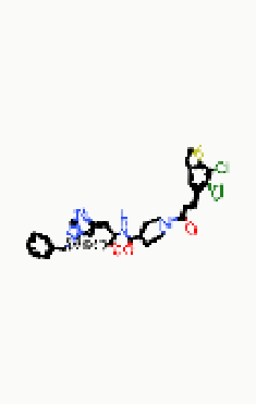 COC(=O)C(Cc1cn(Cc2ccccc2)cn1)NC(=O)C1CCN(C(=O)C=Cc2cc3ccsc3c(Cl)c2Cl)CC1